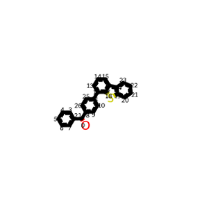 O=C(c1ccccc1)c1ccc(-c2cccc3c2sc2ccccc23)cc1